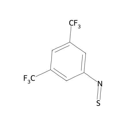 FC(F)(F)c1cc(N=S)cc(C(F)(F)F)c1